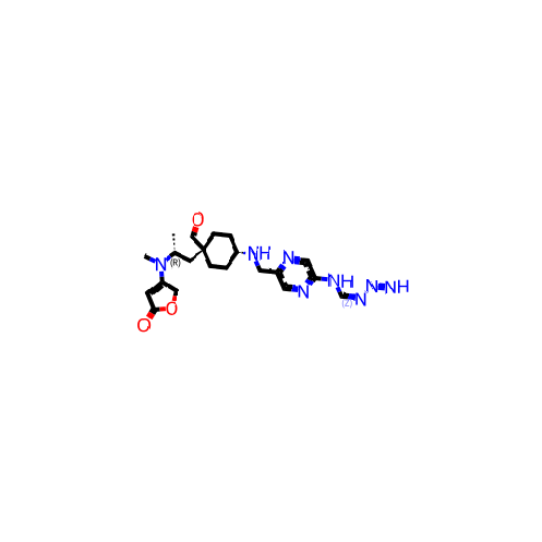 C[C@H](C[C@]1(C=O)CC[C@@H](NCc2cnc(N/C=N\N=N)cn2)CC1)N(C)C1=CC(=O)OC1